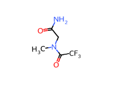 CN(CC(N)=O)C(=O)C(F)(F)F